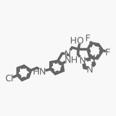 OC(CN1Cc2cc(NCc3ccc(Cl)cc3)ccc2N1)(Cn1cncn1)c1ccc(F)cc1F